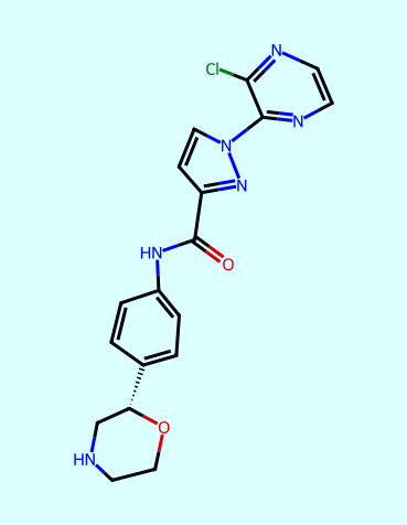 O=C(Nc1ccc([C@H]2CNCCO2)cc1)c1ccn(-c2nccnc2Cl)n1